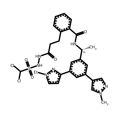 CCn1ccc(-c2cc(-c3cnn(C)c3)cc([C@@H](C)NC(=O)c3ccccc3CCC(=O)NNS(=O)(=O)C(Cl)Cl)c2)n1